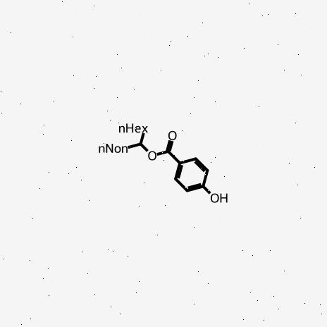 CCCCCCCCCC(CCCCCC)OC(=O)c1ccc(O)cc1